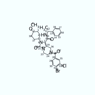 COC1CCC(n2c(C(=O)N[C@H](C)c3ccccc3)c3n(c2=O)CCN(C(=O)c2ccc(Br)c(Cl)c2)C3)CC1